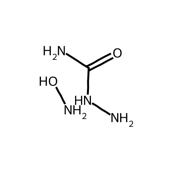 NNC(N)=O.NO